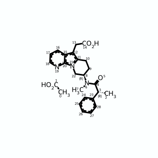 CC(=O)O.C[C@@H](C(=O)N(C)[C@@H]1CCc2c(CC(=O)O)c3cccnc3n2C1)c1ccccc1